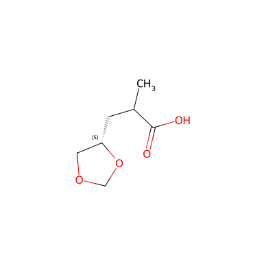 CC(C[C@H]1COCO1)C(=O)O